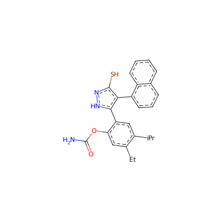 CCc1cc(OC(N)=O)c(-c2[nH]nc(S)c2-c2cccc3ccccc23)cc1C(C)C